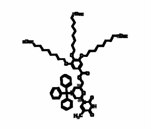 CCCCCCCCCCCCCCCCCCOc1cc(C(=O)OC[C@@H]2CN(C(c3ccccc3)(c3ccccc3)c3ccccc3)C[C@H](n3cc(C)c(=O)[nH]c3=O)O2)cc(OCCCCCCCCCCCCCCCCCC)c1OCCCCCCCCCCCCCCCCCC